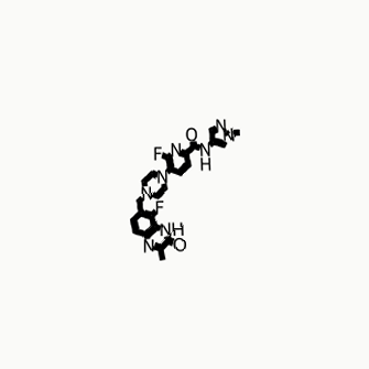 Cc1nc2ccc(CN3CCN(c4ccc(C(=O)Nc5cnn(C)c5)nc4F)CC3)c(F)c2[nH]c1=O